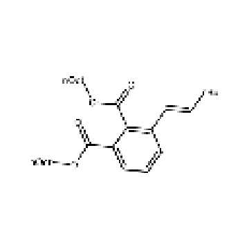 CCCCC=Cc1cccc(C(=O)OCCCCCCCC)c1C(=O)OCCCCCCCC